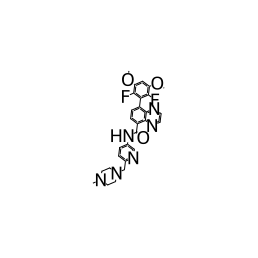 COc1cc(OC)c(F)c(-c2ccc(C(=O)Nc3ccc(CN4CCN(C)CC4)nc3)c3nccnc23)c1F